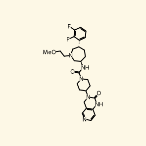 COCCN1C[C@H](NC(=O)N2CCC(N3Cc4cnccc4NC3=O)CC2)CC[C@@H](c2cccc(F)c2F)C1